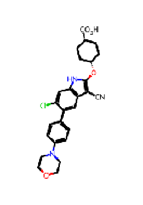 N#Cc1c(O[C@H]2CC[C@H](C(=O)O)CC2)[nH]c2cc(Cl)c(-c3ccc(N4CCOCC4)cc3)cc12